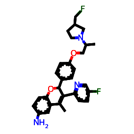 CC1=C(c2ccc(F)cn2)C(c2ccc(OCC(C)N3CCC(CF)C3)cc2)Oc2ccc(N)cc21